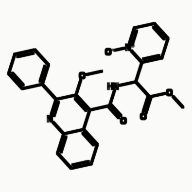 COC(=O)C(NC(=O)c1c(OC)c(-c2ccccc2)nc2ccccc12)c1cccc[n+]1[O-]